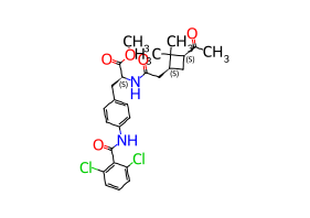 COC(=O)[C@H](Cc1ccc(NC(=O)c2c(Cl)cccc2Cl)cc1)NC(=O)C[C@@H]1C[C@H](C(C)=O)C1(C)C